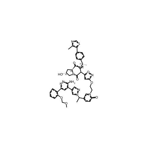 COCOc1ccccc1-c1cc(-c2cnn(C(C)c3ccc(=O)n(CCOc4cc(C(C(=O)N5C[C@H](O)C[C@H]5C(=O)N[C@@H](C)c5ccc(-c6scnc6C)cc5)C(C)C)on4)c3)c2)c(N)nn1